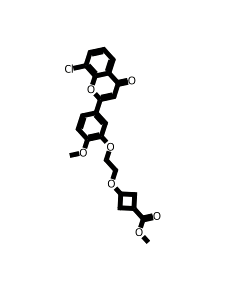 COC(=O)C1CC(OCCOc2cc(-c3cc(=O)c4cccc(Cl)c4o3)ccc2OC)C1